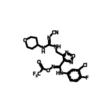 N#C/N=C(\NCc1nonc1/C(=N/OC(=O)C(F)(F)F)Nc1ccc(F)c(Cl)c1)NC1CCOCC1